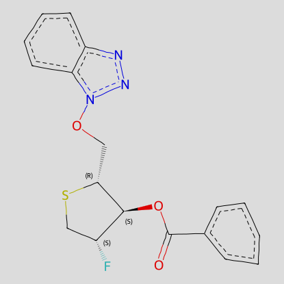 O=C(O[C@H]1[C@H](F)CS[C@@H]1COn1nnc2ccccc21)c1ccccc1